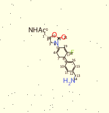 CC(=O)NC[C@H]1CN(C2=CCC(c3ccc(CN)cc3)C(F)=C2)C(=O)O1